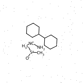 C1CCC(C2CCCCC2)CC1.C[S+](C)[O-].N#CN